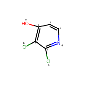 Oc1ccnc(Cl)c1Cl